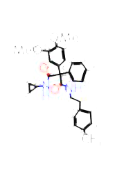 COc1ccc(C(C(=O)NCCc2ccc(C(F)(F)F)cc2)(C(=O)NC2CC2)c2ccccc2)cc1OC